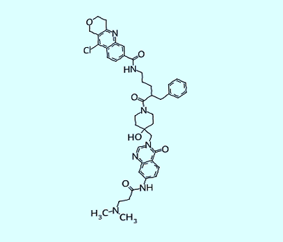 CN(C)CCC(=O)Nc1ccc2c(=O)n(CC3(O)CCN(C(=O)C(CCCNC(=O)c4ccc5c(Cl)c6c(nc5c4)CCOC6)Cc4ccccc4)CC3)cnc2c1